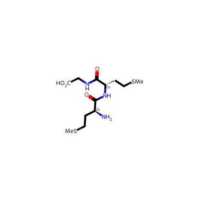 CSCC[C@H](NC(=O)[C@@H](N)CCSC)C(=O)NCC(=O)O